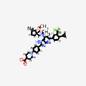 COCC1(CN(C)c2cc(-c3ccc(C4CC4)c(C(F)(F)F)c3)nc3nc(-c4ccc(N5CCC(C(=O)[O-])CC5)cc4)[nH]c23)CCCC1.[Na+]